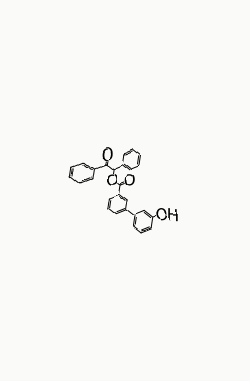 O=C(OC(C(=O)c1ccccc1)c1ccccc1)c1cccc(-c2cccc(O)c2)c1